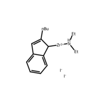 CCCCC1=Cc2ccccc2[CH]1[Zr+2][SiH](CC)CC.[I-].[I-]